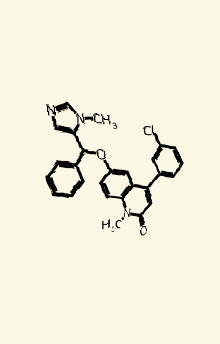 Cn1cncc1C(Oc1ccc2c(c1)c(-c1cccc(Cl)c1)cc(=O)n2C)c1ccccc1